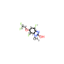 Cn1c(O)nc2c(F)cc(OCC(F)F)c(F)c21